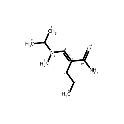 CCC/C(=C\N(N)C(C)C)C(N)=O